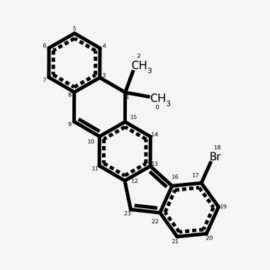 CC1(C)c2ccccc2C=c2cc3c(cc21)=c1c(Br)cccc1=C3